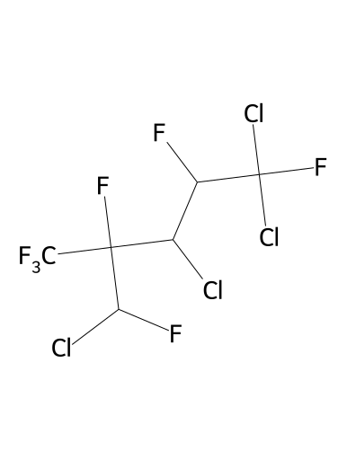 FC(C(Cl)C(F)(C(F)Cl)C(F)(F)F)C(F)(Cl)Cl